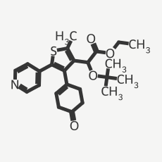 CCOC(=O)C(OC(C)(C)C)c1c(C)sc(-c2ccncc2)c1C1=CCC(=O)CC1